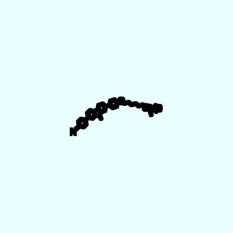 CCC1(COCCCCCCOc2ccc(-c3ccc4c(c3)C(C)c3cc(-c5ccc(C#N)cc5)ccc3-4)cc2)COC1